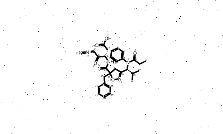 CCC(=O)N(c1ccccc1)[C@H](C1=NOC(Cc2ccccc2)(C(=O)N[C@@H](CC(=O)O)C(=O)C=[N+]=[N-])C1)C(C)C